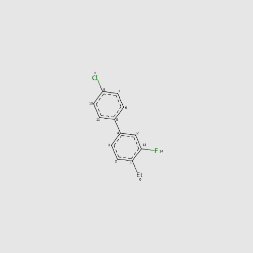 CCc1ccc(-c2ccc(Cl)cc2)cc1F